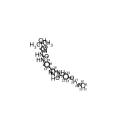 CC(C)(C)c1cc(NC(=O)Nc2ccc(-c3cc(NC(=O)c4ccc(OCCCN5CCCC5)cc4)[nH]n3)cc2)no1